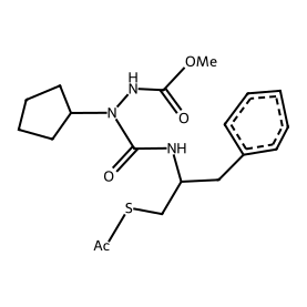 COC(=O)NN(C(=O)NC(CSC(C)=O)Cc1ccccc1)C1CCCC1